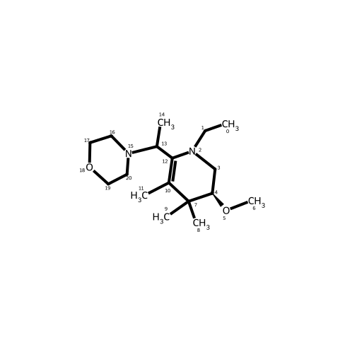 CCN1C[C@@H](OC)C(C)(C)C(C)=C1C(C)N1CCOCC1